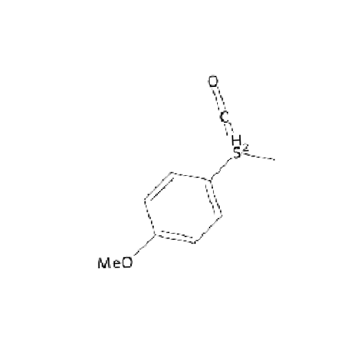 COc1ccc([SH2](C)=C=O)cc1